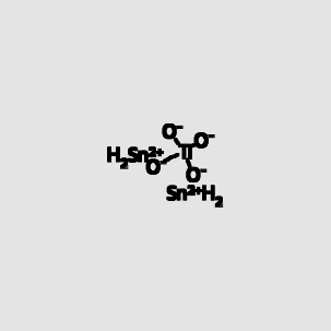 [O-][Ti]([O-])([O-])[O-].[SnH2+2].[SnH2+2]